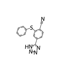 N#Cc1ccc(-c2nnn[nH]2)cc1Sc1ccccc1